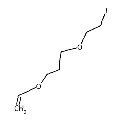 C=COCCCOCCI